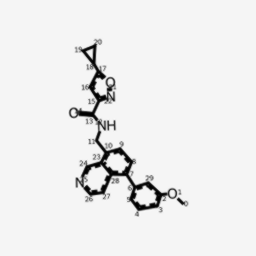 COc1cccc(-c2ccc(CNC(=O)c3cc(C4CC4)on3)c3cnccc23)c1